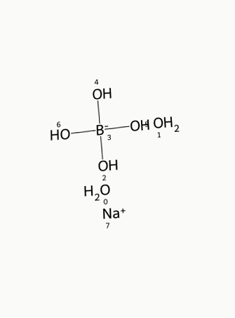 O.O.O[B-](O)(O)O.[Na+]